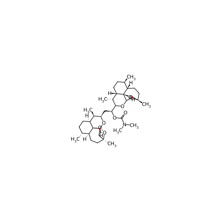 C[C@H]1[C@@H](C[C@H](OC(=O)N(C)C)C2O[C@@H]3C[C@]4(C)CC[C@H]5[C@H](C)CC[C@@H]([C@H]2C)[C@@]35OO4)O[C@@H]2C[C@]3(C)CC[C@H]4[C@H](C)CC[C@@H]1[C@@]24OO3